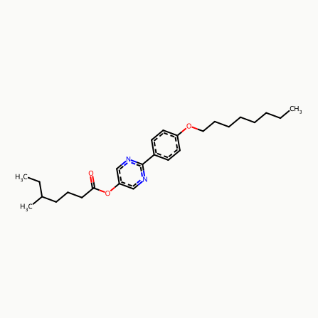 CCCCCCCCOc1ccc(-c2ncc(OC(=O)CCCC(C)CC)cn2)cc1